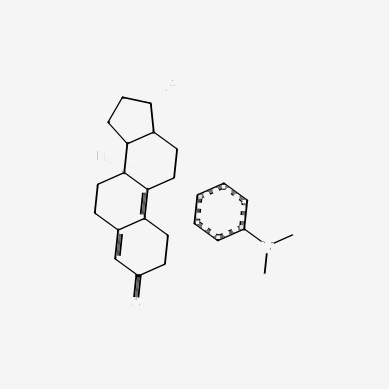 CC(=O)[C@H]1CCC2[C@@H]3CCC4=CC(=O)CCC4=C3[C@@H](c3ccc(N(C)C)cc3)C[C@@]21C